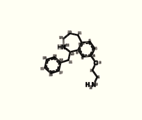 NCCOc1ccc2c(c1)C(Cc1ccccc1)NCCC2